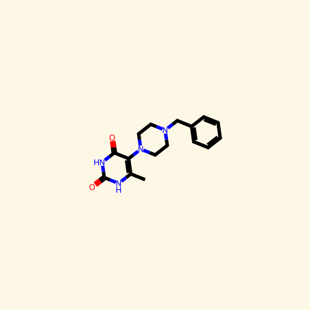 Cc1[nH]c(=O)[nH]c(=O)c1N1CCN(Cc2ccccc2)CC1